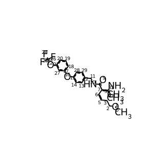 COCC(C)/C=C\C(C(=O)NCc1ccc(Oc2cccc(OC(F)(F)F)c2)cc1)=C(/C)N